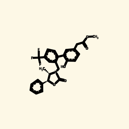 COC(=O)Cc1ccc(O)c(-c2ccc(C(F)(F)F)cc2CN2C(=O)O[C@H](c3ccccc3)[C@@H]2C)c1